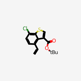 C=Cc1ccc(Cl)c2scc(C(=O)OC(C)(C)C)c12